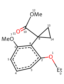 CCOc1cccc(OC)c1C1(C(=O)OC)CC1